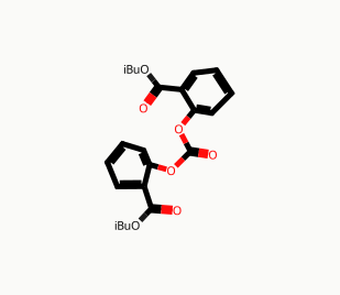 CC(C)COC(=O)c1ccccc1OC(=O)Oc1ccccc1C(=O)OCC(C)C